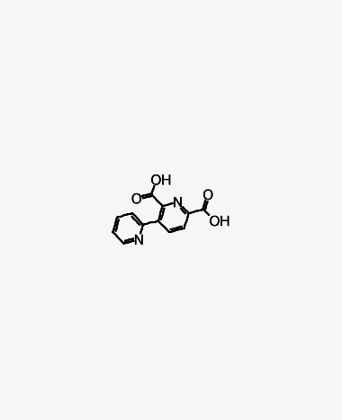 O=C(O)c1ccc(-c2ccccn2)c(C(=O)O)n1